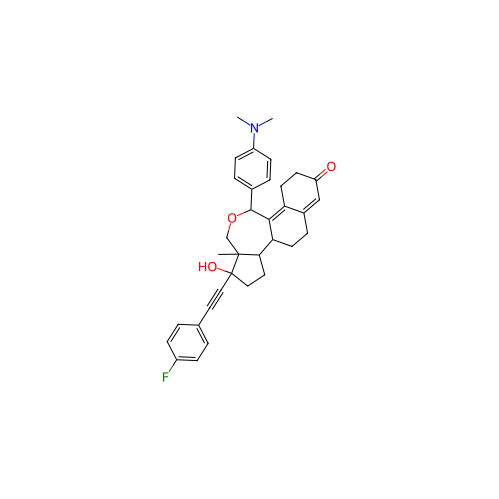 CN(C)c1ccc(C2OCC3(C)C(CCC3(O)C#Cc3ccc(F)cc3)C3CCC4=CC(=O)CCC4=C23)cc1